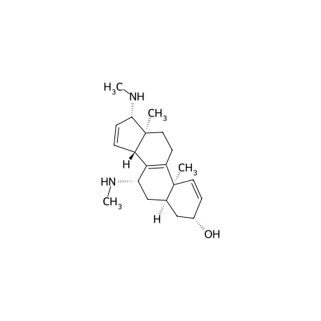 CN[C@H]1C[C@@H]2C[C@@H](O)C=C[C@]2(C)C2=C1[C@@H]1C=C[C@H](NC)[C@@]1(C)CC2